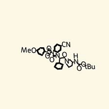 COc1ccc(S(=O)(=O)n2c(=O)n(C(C(=O)N3CCC[C@H](NC(=O)OC(C)(C)C)C3)c3ccccc3)c3cc(C#N)ccc32)cc1